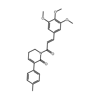 COc1cc(/C=C/C(=O)N2CCC=C(c3ccc(C)cc3)C2=O)cc(OC)c1OC